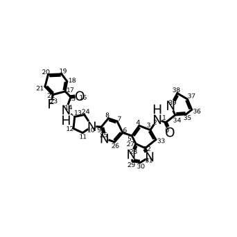 O=C(Nc1cc(-c2ccc(N3CC[C@H](NC(=O)c4ccccc4F)C3)nc2)c2nccnc2c1)c1ccccn1